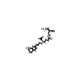 N#CC(/C=N/OC(=O)CCCN(CCCCc1ccc2c(n1)NCCC2)C1CC1)=C/N